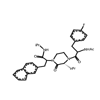 CCC[C@@H]1C(=O)N(C(Cc2ccc3ccccc3c2)C(=O)NC(C)C)CCN1C(=O)C(Cc1ccc(F)cc1)NC(C)=O